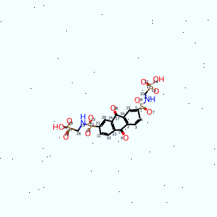 O=C1c2ccc(S(=O)(=O)NCS(=O)(=O)O)cc2C(=O)c2cc(S(=O)(=O)NCS(=O)(=O)O)ccc21